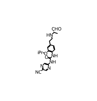 CC(C)Oc1cc(CCN[C@@H](C)C=O)ccc1NC(=O)Nc1cnc(C#N)cn1